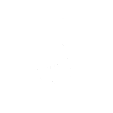 CC(C)(C)C1C(NC(=O)c2ccc(-c3cccc(F)c3)nc2)C(O)CN1C(=O)O